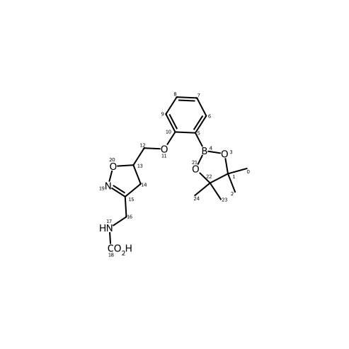 CC1(C)OB(c2ccccc2OCC2CC(CNC(=O)O)=NO2)OC1(C)C